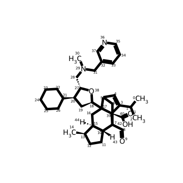 CC(C)C1=CC2CC3(C=O)[C@@H]4CC[C@@H](C)[C@H]4CC2([C@H]2C[C@@H](C4CCCCC4)[C@H](CN(C)Cc4cccnc4)O2)[C@]13C(=O)O